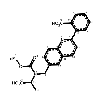 CCCOC(=O)N(Cc1ccc2nc(-c3ccccc3C(=O)O)ccc2c1)[C@@H](C)C(=O)O